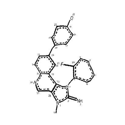 Cn1c(=N)n(-c2ccccc2F)c2c3cc(-c4ccc(Cl)cc4)ccc3ncc21